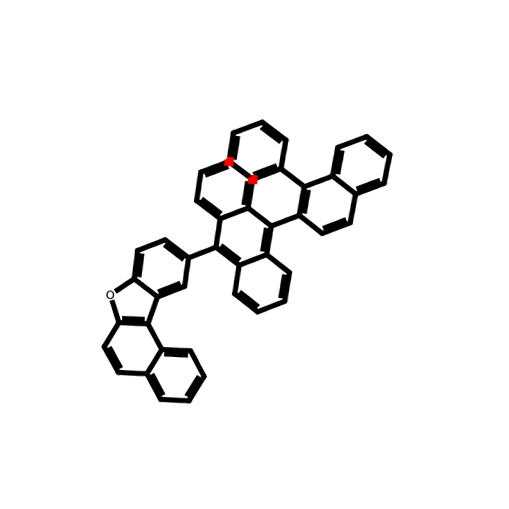 c1ccc(-c2c(-c3c4ccccc4c(-c4ccc5oc6ccc7ccccc7c6c5c4)c4ccccc34)ccc3ccccc23)cc1